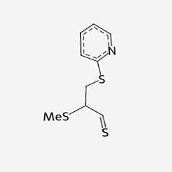 CSC(C=S)CSc1ccccn1